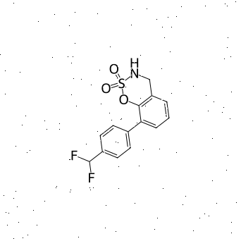 O=S1(=O)NCc2cccc(-c3ccc(C(F)F)cc3)c2O1